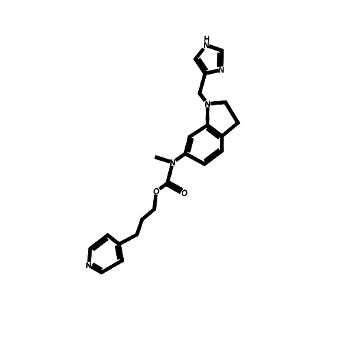 CN(C(=O)OCCCc1ccncc1)c1ccc2c(c1)N(Cc1c[nH]cn1)CC2